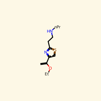 C=C(OCC)c1csc(CCNCCC)n1